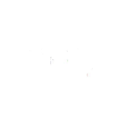 COc1ccc(-c2[nH]c3ccc(Oc4c(Br)cc(CCC(=O)O)cc4Br)cc3c2C)cc1